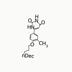 CCCCCCCCCCCCCOc1ccc(-c2cc(=O)[nH]c(=O)[nH]2)cc1C